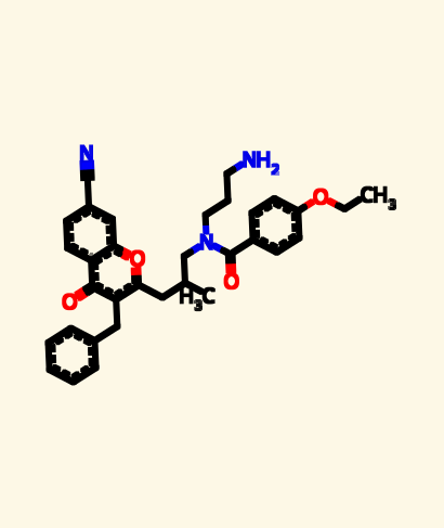 CCOc1ccc(C(=O)N(CCCN)CC(C)Cc2oc3cc(C#N)ccc3c(=O)c2Cc2ccccc2)cc1